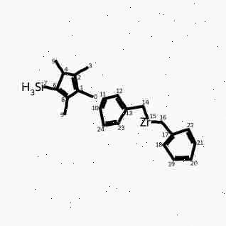 CC1=C(C)C(C)C([SiH3])=C1C.c1ccc([CH2][Zr][CH2]c2ccccc2)cc1